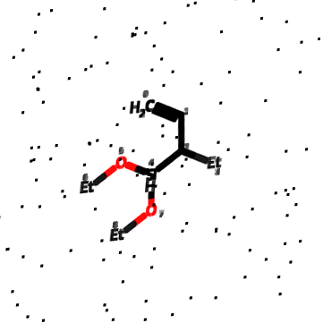 C=CC(CC)[SiH](OCC)OCC